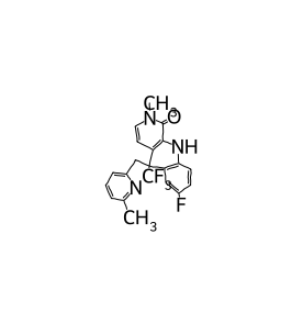 Cc1cccc(CC2(C(F)(F)F)c3cc(F)ccc3Nc3c2ccn(C)c3=O)n1